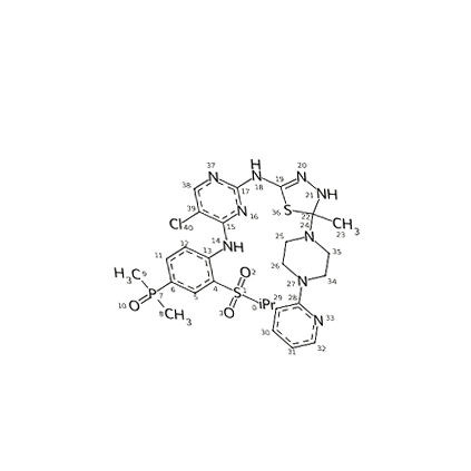 CC(C)S(=O)(=O)c1cc(P(C)(C)=O)ccc1Nc1nc(NC2=NNC(C)(N3CCN(c4ccccn4)CC3)S2)ncc1Cl